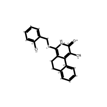 N#Cc1c2c(c(SCc3ccccc3Cl)[nH]c1=O)CCc1ccccc1-2